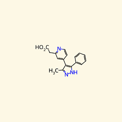 Cc1n[nH]c(-c2ccccc2)c1-c1ccnc(CC(=O)O)c1